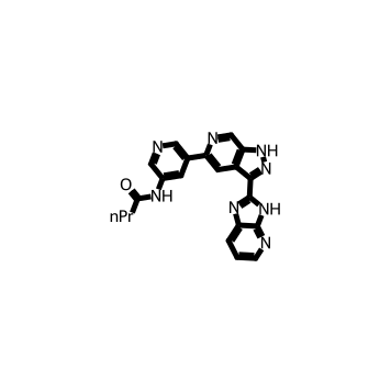 CCCC(=O)Nc1cncc(-c2cc3c(-c4nc5cccnc5[nH]4)n[nH]c3cn2)c1